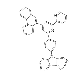 c1ccc(-c2cc(-c3cc4ccccc4c4ccccc34)cc(-c3ccc(-n4c5ccccc5c5ccncc54)cc3)n2)nc1